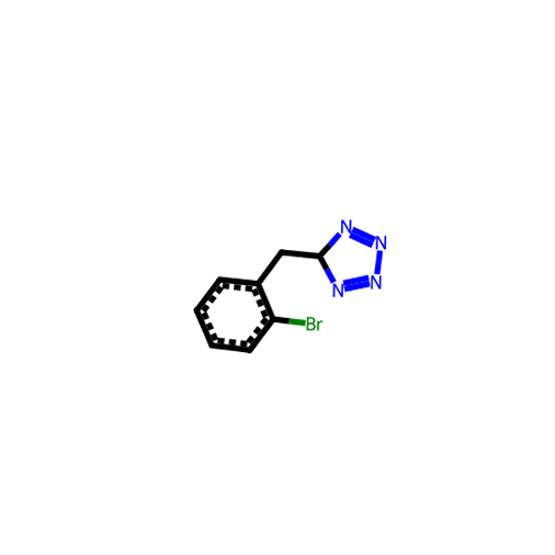 Brc1ccccc1CC1N=NN=N1